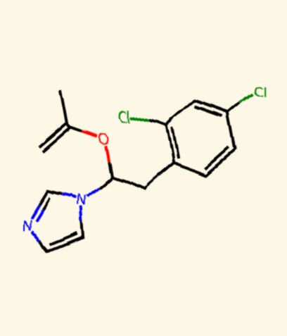 C=C(C)OC(Cc1ccc(Cl)cc1Cl)n1ccnc1